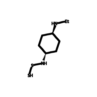 CCN[C@H]1CC[C@H](NSS)CC1